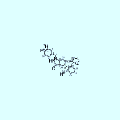 [2H]c1cc(Cn2[nH]c(=O)c3cc(-c4c(C#N)cccc4S(N)(=O)=O)ccc32)ccc1F